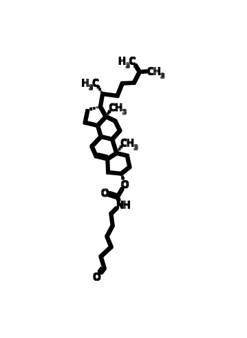 CC(C)CCC[C@@H](C)[C@H]1CCC2C3CC=C4C[C@@H](OC(=O)NCCCCCC=O)CC[C@]4(C)C3CC[C@@]21C